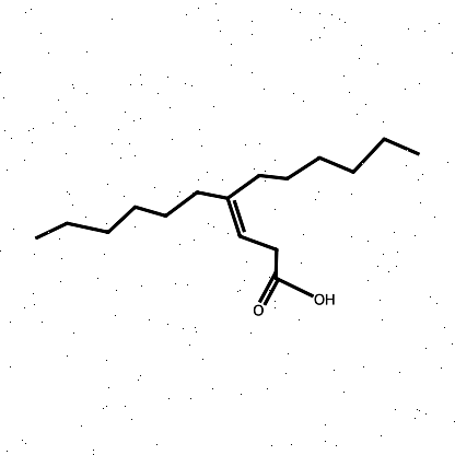 CCCCCCC(=CCC(=O)O)CCCCCC